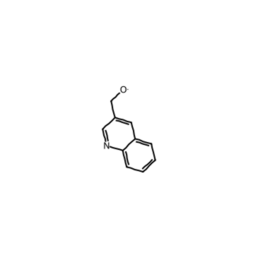 [O]Cc1cnc2ccccc2c1